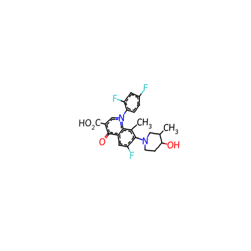 Cc1c(N2CCC(O)C(C)C2)c(F)cc2c(=O)c(C(=O)O)cn(-c3ccc(F)cc3F)c12